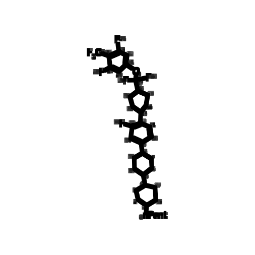 CCCCCC1CCC(C2CCC(c3ccc(C4CCC(C(F)(F)Oc5cc(F)c(C(F)(F)F)c(F)c5)CC4)c(F)c3)CC2)CC1